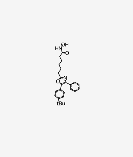 CC(C)(C)c1ccc(-c2oc(CCCCCC(=O)NO)nc2-c2ccccc2)cc1